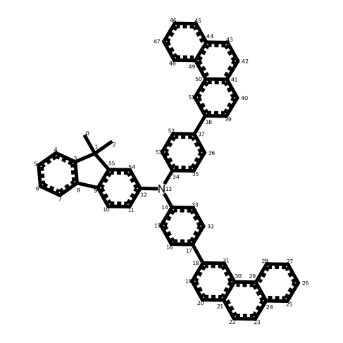 CC1(C)c2ccccc2-c2ccc(N(c3ccc(-c4ccc5ccc6ccccc6c5c4)cc3)c3ccc(-c4ccc5ccc6ccccc6c5c4)cc3)cc21